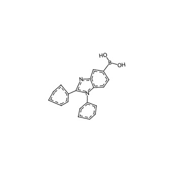 OB(O)c1ccc2c(c1)nc(-c1ccccc1)n2-c1ccccc1